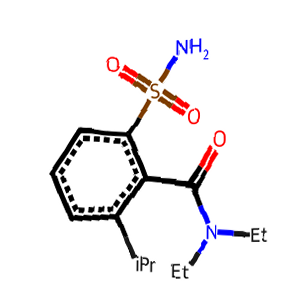 CCN(CC)C(=O)c1c(C(C)C)cccc1S(N)(=O)=O